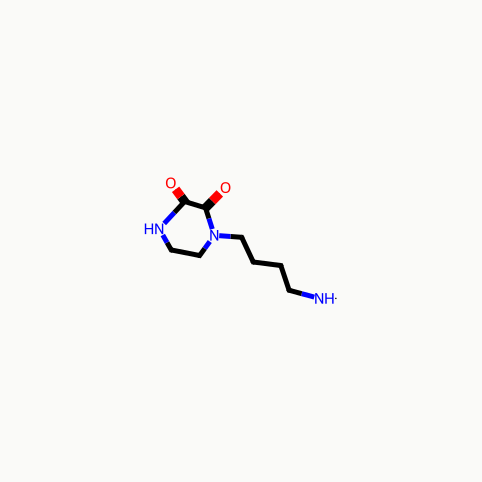 [NH]CCCCN1CCNC(=O)C1=O